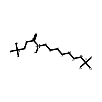 C=C(CCC(C)(C)C)N(C)CCCCCCCC(C)(C)C